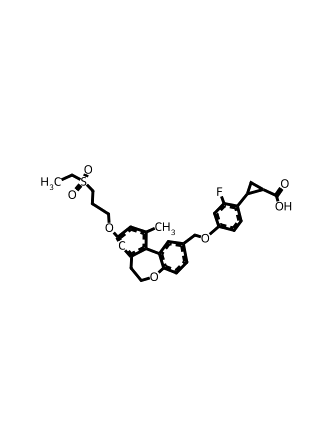 CCS(=O)(=O)CCCOc1cc(C)c2c(c1)CCOc1ccc(COc3ccc(C4CC4C(=O)O)c(F)c3)cc1-2